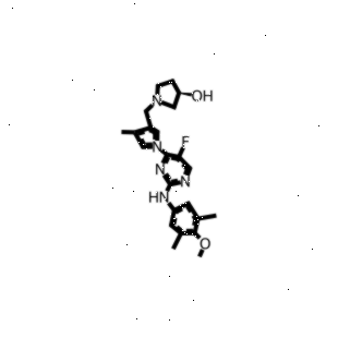 COc1c(C)cc(Nc2ncc(F)c(-n3cc(C)c(CN4CC[C@@H](O)C4)c3)n2)cc1C